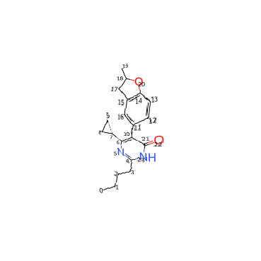 CCCCc1nc(C2CC2)c(-c2ccc3c(c2)CC(C)O3)c(=O)[nH]1